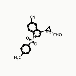 Cc1ccc(S(=O)(=O)n2cc([C@H]3C[C@@H]3C=O)c3cc(C#N)ccc32)cc1